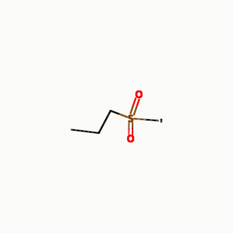 [CH]S(=O)(=O)CCC